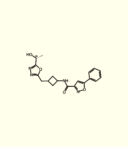 C[C@@H](O)c1nnc(CC2CC(NC(=O)c3cc(-c4ccccc4)on3)C2)o1